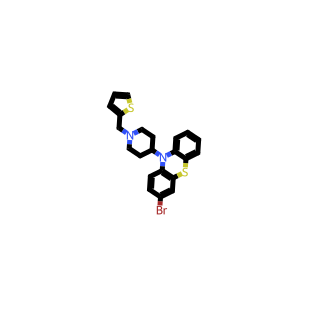 Brc1ccc2c(c1)Sc1ccccc1N2C1CCN(Cc2cccs2)CC1